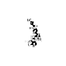 C[C@@H](OC(=O)Nc1c(-c2ccc(NC(=O)C3CC(C#N)C3)cn2)nnn1C)c1cccnc1Cl